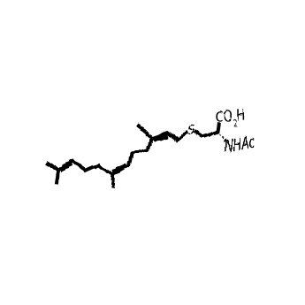 CC(=O)N[C@H](CSCC=C(C)CCC=C(C)CCC=C(C)C)C(=O)O